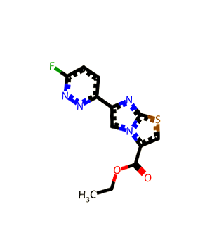 CCOC(=O)c1csc2nc(-c3ccc(F)nn3)cn12